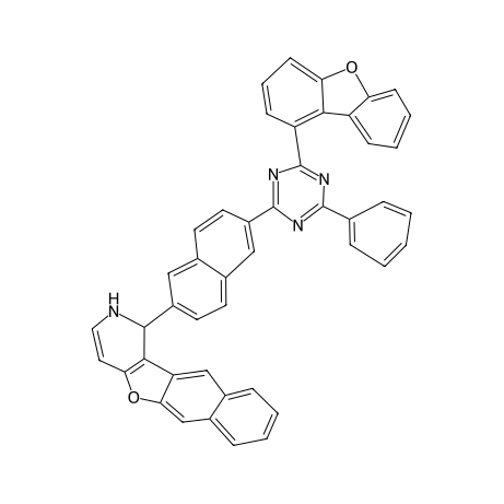 C1=Cc2oc3cc4ccccc4cc3c2C(c2ccc3cc(-c4nc(-c5ccccc5)nc(-c5cccc6oc7ccccc7c56)n4)ccc3c2)N1